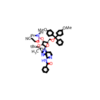 COc1ccc(C(OC[C@H]2O[C@@H](n3cnc4c(NC(=O)c5ccccc5)nccc43)[C@H](O[Si](C)(C)C(C)(C)C)[C@@H]2OP(OCCC#N)N(C(C)C)C(C)C)(c2ccccc2)c2ccc(OC)cc2)cc1